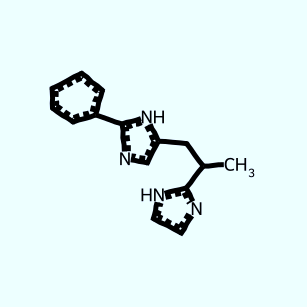 CC(Cc1cnc(-c2ccccc2)[nH]1)c1ncc[nH]1